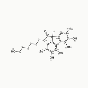 CC(C)(C)c1cc(C(C)(C(=O)OCCCCCCO)c2cc(C(C)(C)C)c(O)c(C(C)(C)C)c2)cc(C(C)(C)C)c1O